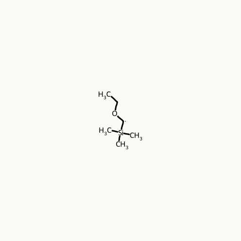 CCO[CH][Si](C)(C)C